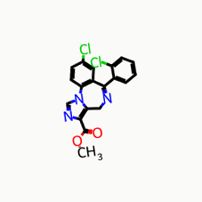 COC(=O)c1ncn2c1CN=C(c1ccccc1Cl)c1cc(Cl)ccc1-2